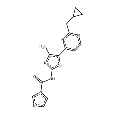 Cc1nc(NC(=O)n2ccnc2)sc1-c1ccnc(CC2CC2)n1